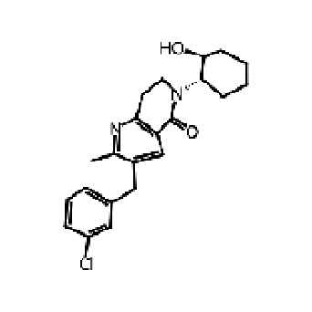 Cc1nc2c(cc1Cc1cccc(Cl)c1)C(=O)N([C@H]1CCCC[C@@H]1O)CC2